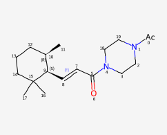 CC(=O)N1CCN(C(=O)/C=C/[C@@H]2[C@H](C)CCCC2(C)C)CC1